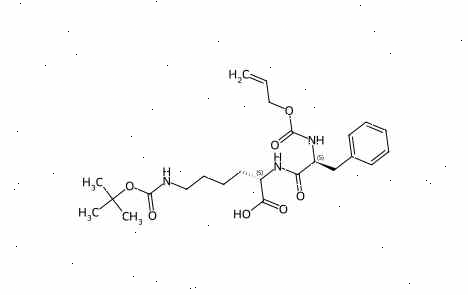 C=CCOC(=O)N[C@@H](Cc1ccccc1)C(=O)N[C@@H](CCCCNC(=O)OC(C)(C)C)C(=O)O